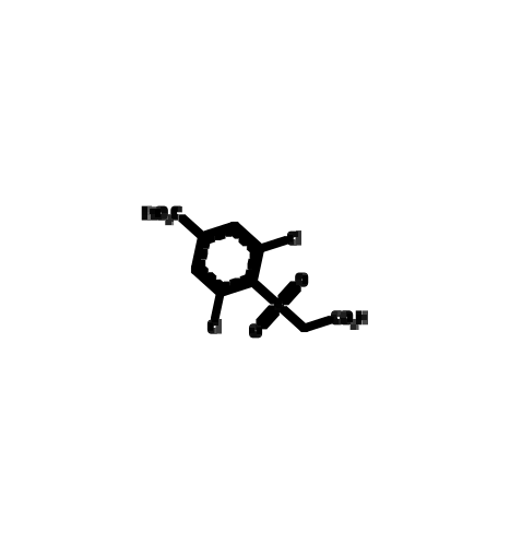 CCOC(=O)c1cc(Cl)c(S(=O)(=O)CC(=O)O)c(Cl)c1